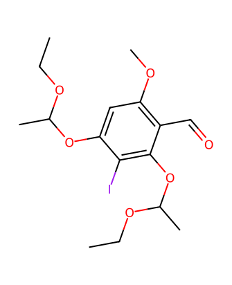 CCOC(C)Oc1cc(OC)c(C=O)c(OC(C)OCC)c1I